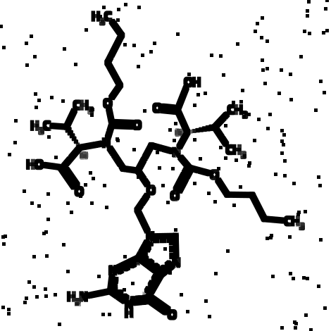 CCCCOC(=O)N(CC(CN(C(=O)OCCCC)[C@H](C(=O)O)C(C)C)OCn1cnc2c(=O)[nH]c(N)nc21)[C@H](C(=O)O)C(C)C